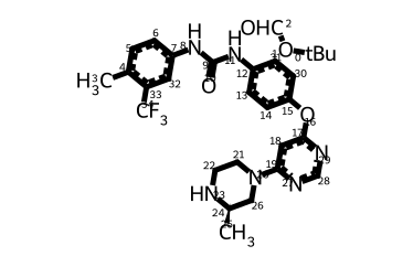 CC(C)(C)OC=O.Cc1ccc(NC(=O)Nc2ccc(Oc3cc(N4CCN[C@H](C)C4)ncn3)cc2)cc1C(F)(F)F